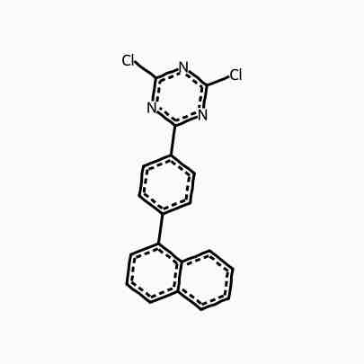 Clc1nc(Cl)nc(-c2ccc(-c3cccc4ccccc34)cc2)n1